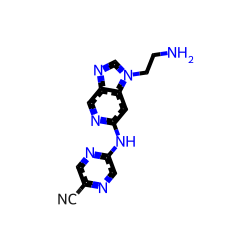 N#Cc1cnc(Nc2cc3c(cn2)ncn3CCN)cn1